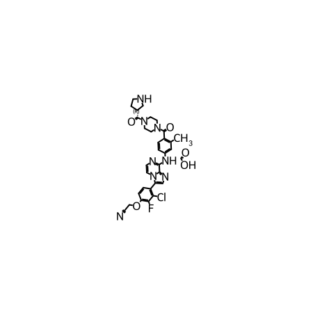 Cc1cc(Nc2nccn3c(-c4ccc(OCC#N)c(F)c4Cl)cnc23)ccc1C(=O)N1CCN(C(=O)[C@@H]2CCNC2)CC1.O=CO